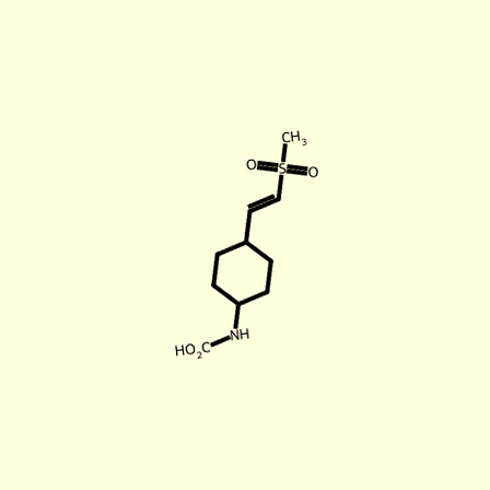 CS(=O)(=O)C=CC1CCC(NC(=O)O)CC1